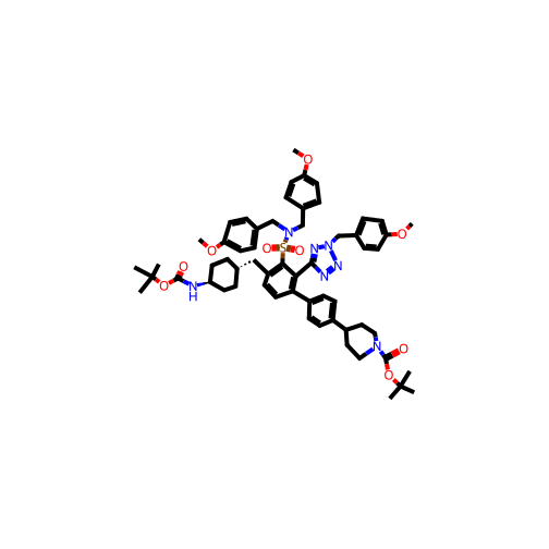 COc1ccc(CN(Cc2ccc(OC)cc2)S(=O)(=O)c2c(C[C@H]3CC[C@H](NC(=O)OC(C)(C)C)CC3)ccc(-c3ccc(C4CCN(C(=O)OC(C)(C)C)CC4)cc3)c2-c2nnn(Cc3ccc(OC)cc3)n2)cc1